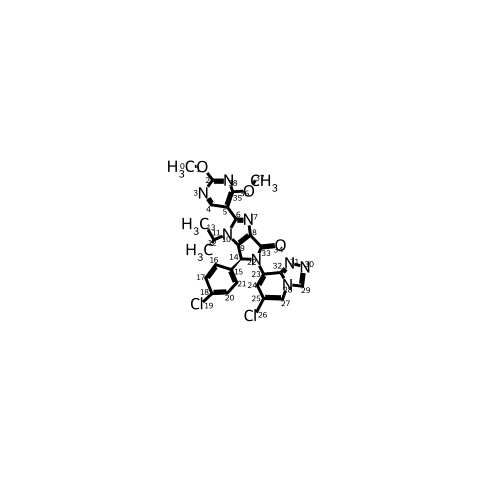 COc1ncc(-c2nc3c(n2C(C)C)[C@H](c2ccc(Cl)cc2)N(c2cc(Cl)cn4cnnc24)C3=O)c(OC)n1